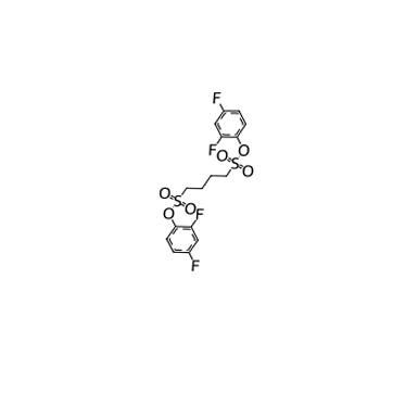 O=S(=O)(CCCCS(=O)(=O)Oc1ccc(F)cc1F)Oc1ccc(F)cc1F